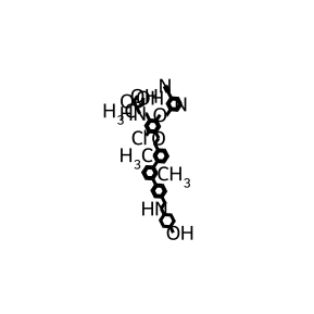 Cc1c(COc2cc(OCc3cncc(C#N)c3)c(CN[C@@](C)(CO)C(=O)O)cc2Cl)cccc1-c1cccc(-c2ccc(CNC3CCC(O)CC3)cc2)c1C